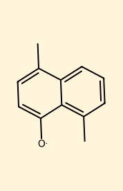 Cc1ccc([O])c2c(C)cccc12